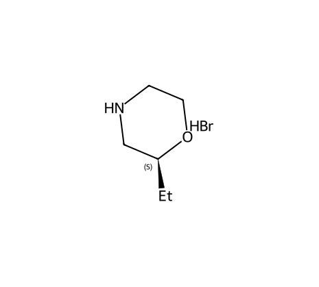 Br.CC[C@H]1CNCCO1